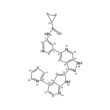 O=C(Nc1cncc(-c2cc3c(-c4cc5c(-c6ccccn6)ccnc5[nH]4)n[nH]c3cn2)c1)C1CC1